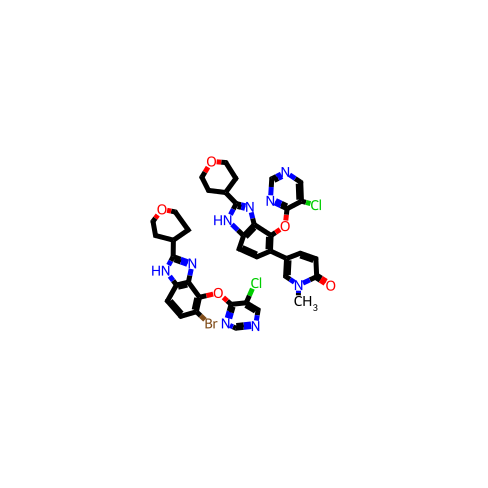 Clc1cncnc1Oc1c(Br)ccc2[nH]c(C3CCOCC3)nc12.Cn1cc(-c2ccc3[nH]c(C4CCOCC4)nc3c2Oc2ncncc2Cl)ccc1=O